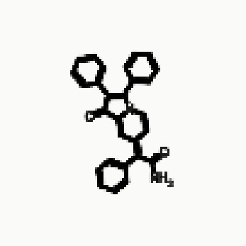 NC(=O)C(=C1C=CN2C(=C1)C(=O)C(c1ccccc1)=C2c1ccccc1)c1ccccc1